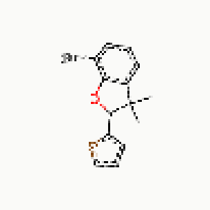 CC(C)(C)c1cccc2c1OC(c1cccs1)C2(C)C